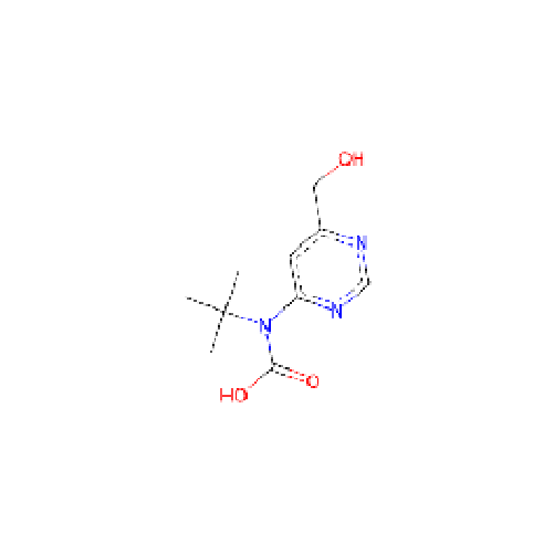 CC(C)(C)N(C(=O)O)c1cc(CO)ncn1